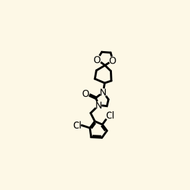 O=C1N(Cc2c(Cl)cccc2Cl)CCN1C1CCC2(CC1)OCCO2